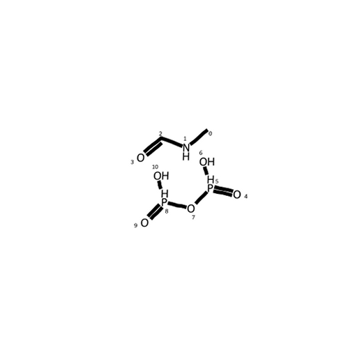 CNC=O.O=[PH](O)O[PH](=O)O